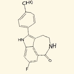 O=Cc1ccc(-c2[nH]c3cc(F)cc4c3c2CCNC4=O)cc1